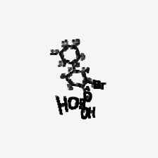 OB(O)Oc1ccc(-c2ccccc2)cc1Br